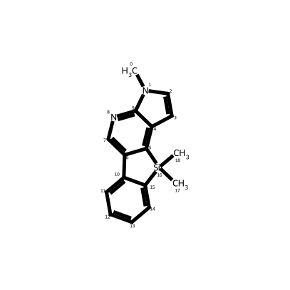 Cn1ccc2c3c(cnc21)-c1ccccc1[Si]3(C)C